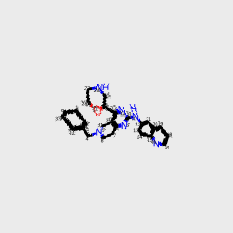 c1ccc(CN2CCc3nc(Nc4ccc5ncccc5c4)nc(C4CNCCO4)c3C2)cc1